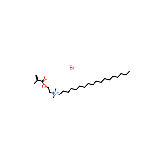 C=C(C)C(=O)OCC[N+](C)(C)CCCCCCCCCCCCCCCCCC.[Br-]